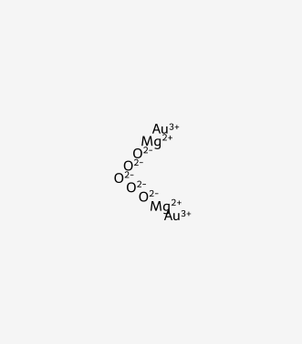 [Au+3].[Au+3].[Mg+2].[Mg+2].[O-2].[O-2].[O-2].[O-2].[O-2]